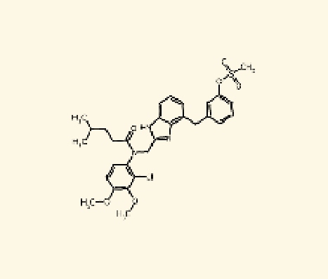 COc1ccc(N(Cc2nc3c(Cc4cccc(OS(C)(=O)=O)c4)cccc3[nH]2)C(=O)CCC(C)C)c(Cl)c1OC